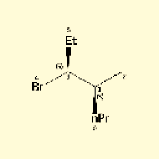 CCC[C@H](C)[C@@H](Br)CC